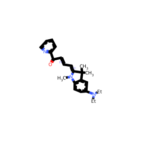 CCN(CC)c1ccc2c(c1)C(C)(C)/C(=C/C=C/C(=O)c1ccccn1)N2C